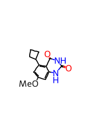 COc1cc(C2CCC2)c2c(=O)[nH]c(=O)[nH]c2c1